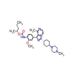 CCCC(C)OC(=O)Nc1ccc(-c2nc([C@H]3CC[C@H](N4CCN(C)CC4)CC3)n3ccnc(C)c23)cc1OC